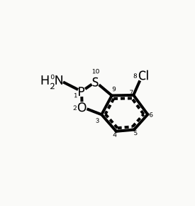 NP1Oc2cccc(Cl)c2S1